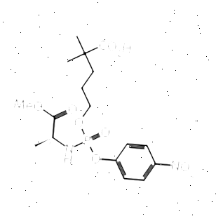 COC(=O)[C@H](C)NP(=O)(OCCCC(C)(C)C(=O)O)Oc1ccc([N+](=O)[O-])cc1